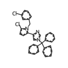 Clc1cccc(Cn2c(Cl)ccc2-c2cn(C(c3ccccc3)(c3ccccc3)c3ccccc3)cn2)c1